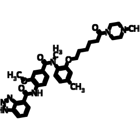 COc1cc(C(=O)N(C)c2ccc(C)cc2OCCCCCC(=O)N2CCN(C)CC2)ccc1NC(=O)c1cccc2[nH]nnc12